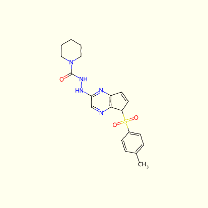 Cc1ccc(S(=O)(=O)C2C=Cc3nc(NNC(=O)N4CCCCC4)cnc32)cc1